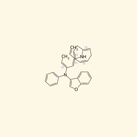 C=C/C(=C\C(=C/C)N(c1ccccc1)c1coc2ccccc12)N/C1=C\C/C=C\C=C/C1